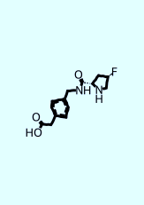 O=C(O)Cc1ccc(CNC(=O)[C@@H]2C[C@H](F)CN2)cc1